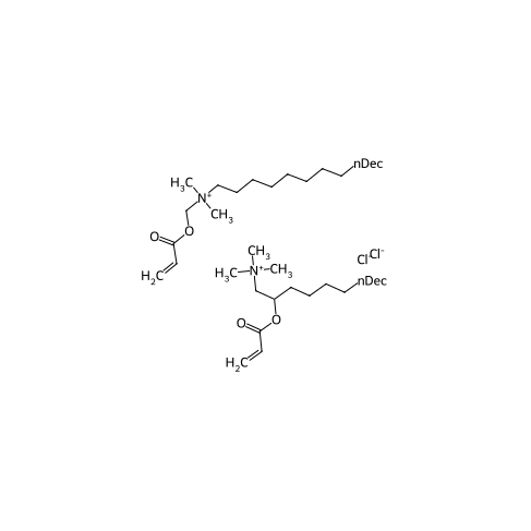 C=CC(=O)OC(CCCCCCCCCCCCCC)C[N+](C)(C)C.C=CC(=O)OC[N+](C)(C)CCCCCCCCCCCCCCCCCC.[Cl-].[Cl-]